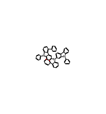 c1ccc(-c2ccccc2N(c2ccc3c(c2)c2c(-c4ccccc4)cccc2n3-c2ccccc2)c2ccc3c4ccccc4n(-c4ccccc4)c3c2)cc1